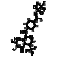 C[C@@H](O)[C@@H](C)Nc1nc(Nc2ccc([S@](C)=NS(=O)(=O)C(F)(F)F)cc2)ncc1C(F)(F)F